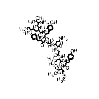 CNC(=O)C(CSSC)NC(=O)C(Cc1ccc(O)cc1)NC(=O)C(NC(=O)CNC(=O)C(CC(N)=O)NC(=O)CNC(=O)C(Cc1ccc(O)cc1)NC(=O)C(Cc1ccc(O)cc1)NC(=O)C(CCCCN)NC(=O)C(N)[C@H](C)O)C(C)C